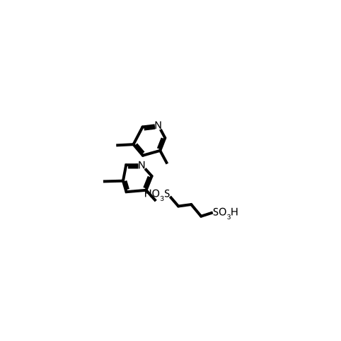 Cc1cncc(C)c1.Cc1cncc(C)c1.O=S(=O)(O)CCCS(=O)(=O)O